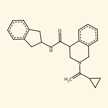 C=C(C1CC1)N1Cc2ccccc2C(C(=O)NC2Cc3ccccc3C2)C1